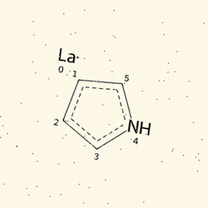 [La].c1cc[nH]c1